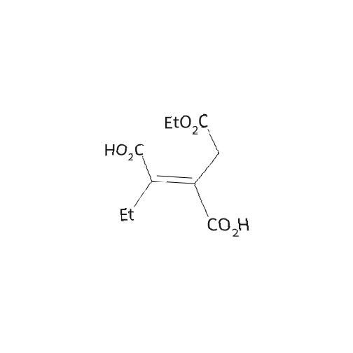 CCOC(=O)CC(C(=O)O)=C(CC)C(=O)O